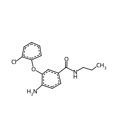 CCCNC(=O)c1ccc(N)c(Oc2ccccc2Cl)c1